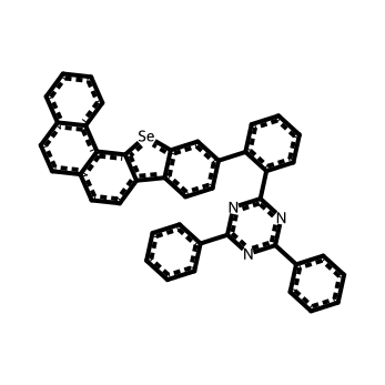 c1ccc(-c2nc(-c3ccccc3)nc(-c3ccccc3-c3ccc4c(c3)[se]c3c4ccc4ccc5ccccc5c43)n2)cc1